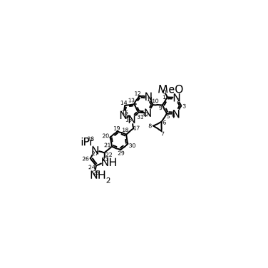 COc1ncnc(C2CC2)c1-c1ncc2cnn(Cc3ccc(C4NC(N)=CN4C(C)C)cc3)c2n1